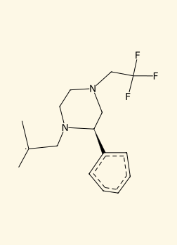 C[C](C)CN1CCN(CC(F)(F)F)C[C@H]1c1ccccc1